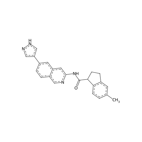 Cc1ccc2c(c1)CCC2C(=O)Nc1cc2cc(-c3cn[nH]c3)ccc2cn1